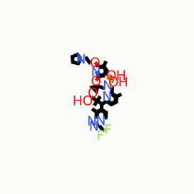 Cc1ccc(C(c2ccn3c(C(F)F)nnc3c2C)C(C)(C)C(=O)O)nc1CN1CC2(CC2)Oc2nc(OCCN3CCCC3)c(C)cc2S1(O)O